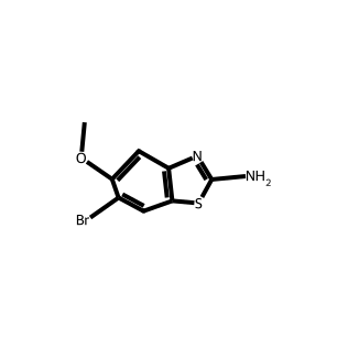 COc1cc2nc(N)sc2cc1Br